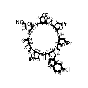 CC(C)CC1NC(=O)[C@H](CC(C)C)N(C)C(=O)[C@H](CC(F)(F)F)NC(=O)[C@@H](CCC#N)OC(=O)[C@H](C)N(C)C(=O)[C@H](CC(C)C)NC(=O)[C@H](Cc2csc3ccc(Cl)cc23)N(C)C1=O